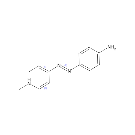 C/C=C(\C=C/NC)/N=N/c1ccc(N)cc1